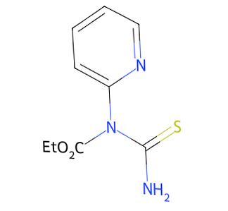 CCOC(=O)N(C(N)=S)c1ccccn1